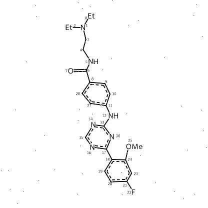 CCN(CC)CCNC(=O)c1ccc(Nc2ncnc(-c3ccc(F)cc3OC)n2)cc1